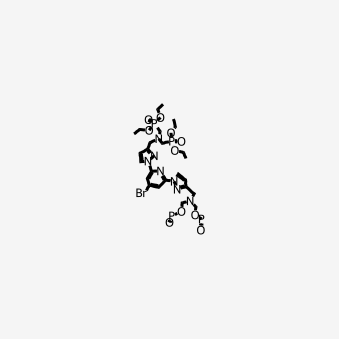 CCOP(=O)(CN(Cc1ccn(-c2cc(Br)cc(-n3ccc(CN(COP=O)COP=O)n3)n2)n1)CP(=O)(OCC)OCC)OCC